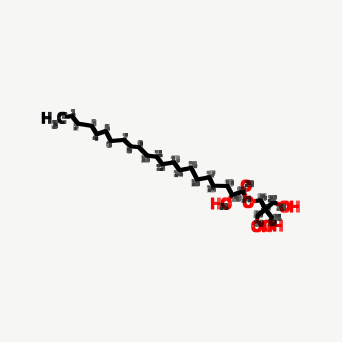 CCCCCCCCCCCCCCCCCCCCC(O)C(=O)OCC(CO)(CO)CO